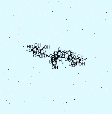 CC(C)CCC[C@@H](C)[C@H]1CC[C@H]2[C@@H]3[C@H](OCCO[C@@H]4OC(CO)[C@@H](O[C@H]5OC(CO)[C@@H](O)C(O)[C@@H]5O)C(O)[C@@H]4O)C[C@@H]4C[C@H](O)CC[C@]4(C)[C@H]3C[C@H](OCCO[C@@H]3OC(CO)[C@@H](O[C@H]4OC(CO)[C@@H](O)[C@H](O)C4O)C(O)[C@@H]3O)[C@]12C